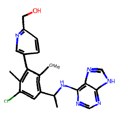 COc1c(C(C)Nc2ncnc3[nH]cnc23)cc(Cl)c(C)c1-c1ccc(CO)nc1